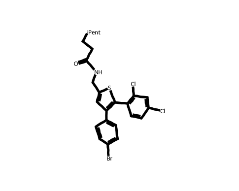 CCCC(C)CCC(=O)NCc1cc(-c2ccc(Br)cc2)c(-c2ccc(Cl)cc2Cl)s1